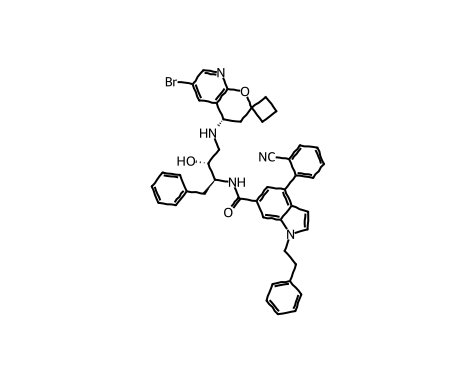 N#Cc1ccccc1-c1cc(C(=O)N[C@@H](Cc2ccccc2)[C@H](O)CN[C@H]2CC3(CCC3)Oc3ncc(Br)cc32)cc2c1ccn2CCc1ccccc1